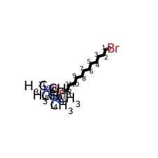 BrCCCCCCCCCCCCBr.CN(C)C.CN(C)C